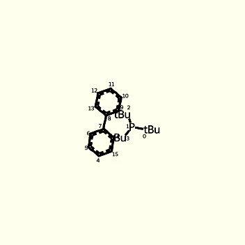 CC(C)(C)P(C(C)(C)C)C(C)(C)C.c1ccc(-c2ccccc2)cc1